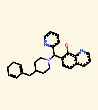 Oc1c(C(c2ccccn2)N2CCC(CC3=CCCC=C3)CC2)ccc2cccnc12